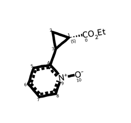 CCOC(=O)[C@H]1CC1c1cccc[n+]1[O-]